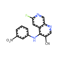 N#Cc1cnc2cnc(F)cc2c1Nc1cccc([N+](=O)[O-])c1